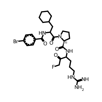 N=C(N)NCCCC(NC(=O)[C@@H]1CCCN1C(=O)C(CC1CCCCC1)NC(=O)c1ccc(Br)cc1)C(=O)CF